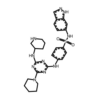 O=S(=O)(Nc1ccc2cn[nH]c2c1)c1ccc(Nc2nc(NC3CCCNC3)nc(N3CCCCC3)n2)cc1